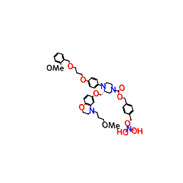 COCCCN1CCOc2ccc(OC[C@H]3CN(C(=O)OCc4ccc(CON(O)O)cc4)CCN3c3ccc(OCCCOCc4ccccc4OC)cc3)cc21